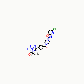 CC1(N(N)/C=C(\N)c2ccc(C(=O)N3CCN(c4nc5nc(Cl)ccc5o4)CC3)cc2)COC1